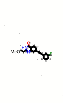 COCCc1nc2cc(C#Cc3cccc(F)c3)ccc2c(=O)[nH]1